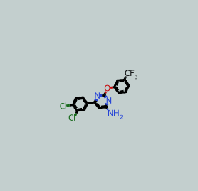 Nc1cc(-c2ccc(Cl)c(Cl)c2)nc(Oc2cccc(C(F)(F)F)c2)n1